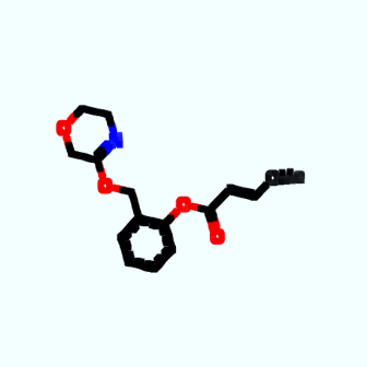 COC=CC(=O)Oc1ccccc1COC1=NCCOC1